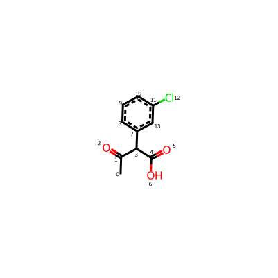 CC(=O)C(C(=O)O)c1cccc(Cl)c1